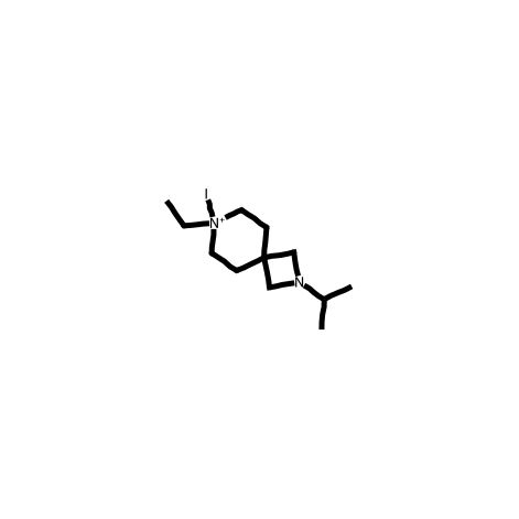 CC[N+]1(I)CCC2(CC1)CN(C(C)C)C2